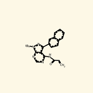 C=CC(=O)Nc1ncnc2c1c(-c1ccc3ccccc3c1)nn2C(C)(C)C